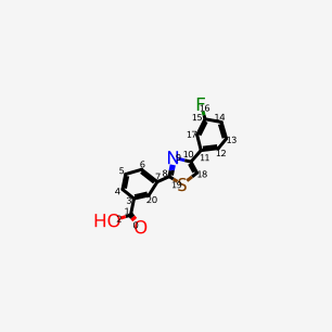 O=C(O)c1cccc(-c2nc(-c3cccc(F)c3)cs2)c1